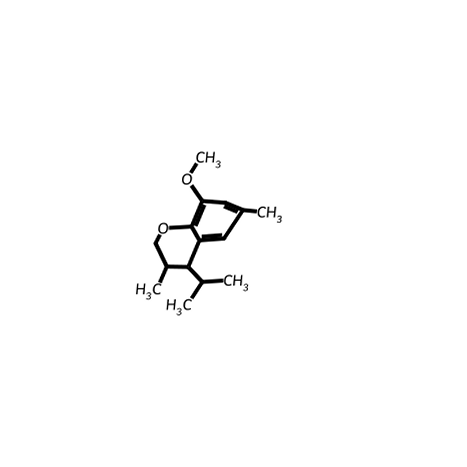 COc1cc(C)cc2c1OCC(C)C2C(C)C